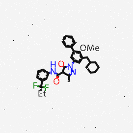 CCC(F)(F)c1cccc(NC(=O)C2C(=O)N(c3cc(CC4CCCCC4)c(OC)c(-c4ccccc4)c3)N=C2C)c1